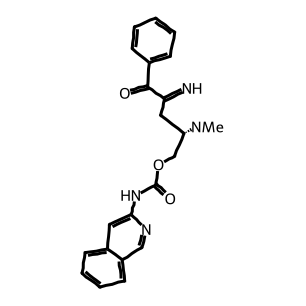 CN[C@H](COC(=O)Nc1cc2ccccc2cn1)CC(=N)C(=O)c1ccccc1